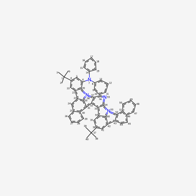 CC(C)(C)c1cc(N(c2ccccc2)c2ccccc2)c2c(c1)c1cc3ccccc3c3c4c5c6cc(C(C)(C)C)cc7c8ccc9ccccc9c8n(c5ncc4n2c13)c76